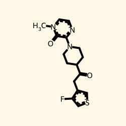 Cn1ccnc(N2CCC(C(=O)Cc3cscc3F)CC2)c1=O